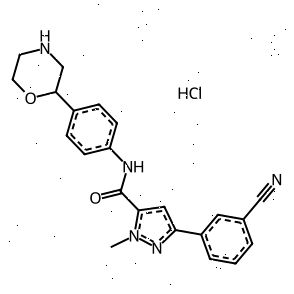 Cl.Cn1nc(-c2cccc(C#N)c2)cc1C(=O)Nc1ccc(C2CNCCO2)cc1